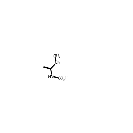 CC(NN)NC(=O)O